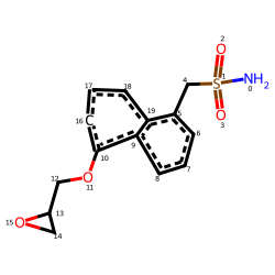 NS(=O)(=O)Cc1cccc2c(OCC3CO3)cccc12